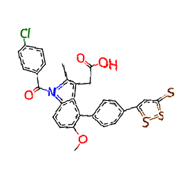 COc1ccc2c(c(CC(=O)O)c(C)n2C(=O)c2ccc(Cl)cc2)c1-c1ccc(-c2cc(=S)ss2)cc1